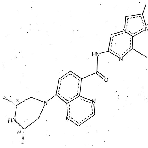 Cc1cn2cc(NC(=O)c3ccc(N4C[C@@H](C)N[C@@H](C)C4)c4nccnc34)nc(C)c2n1